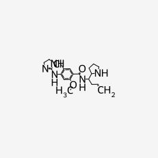 C=CCC(NC(=O)c1cc(Cl)c(NC2=NCCN2)cc1OC)C1CCCN1